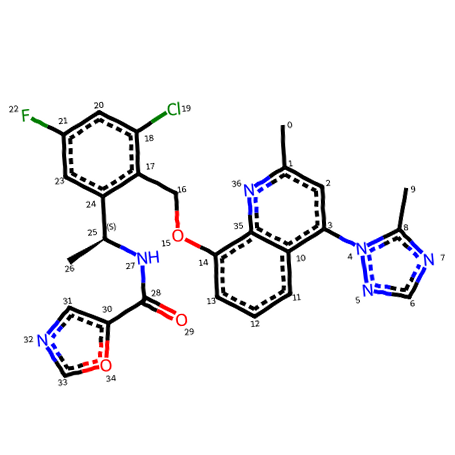 Cc1cc(-n2ncnc2C)c2cccc(OCc3c(Cl)cc(F)cc3[C@H](C)NC(=O)c3cnco3)c2n1